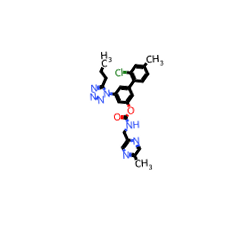 CCCc1nnnn1-c1cc(OC(=O)NCc2cnc(C)cn2)cc(-c2ccc(C)cc2Cl)c1